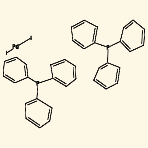 [I][Pd][I].c1ccc(P(c2ccccc2)c2ccccc2)cc1.c1ccc(P(c2ccccc2)c2ccccc2)cc1